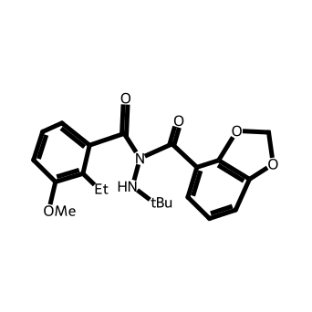 CCc1c(OC)cccc1C(=O)N(NC(C)(C)C)C(=O)c1cccc2c1OCO2